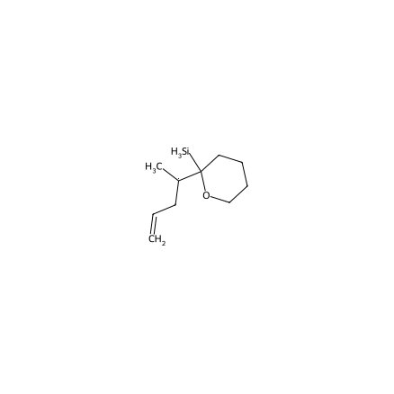 C=CC[C](C)C1([SiH3])CCCCO1